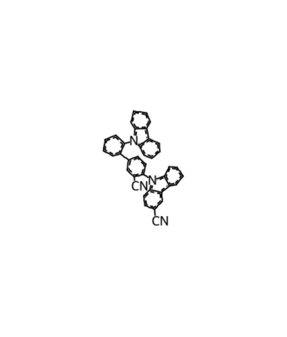 N#Cc1ccc2c(c1)c1ccccc1n2-c1ccc(-c2ccccc2-n2c3ccccc3c3ccccc32)cc1C#N